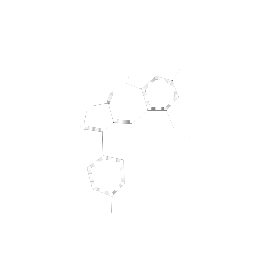 Cc1cc(C)c(/C=C2\C(=O)ON=C2c2ccc(F)cc2)c(C)c1